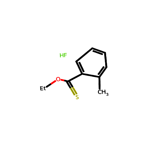 CCOC(=S)c1ccccc1C.F